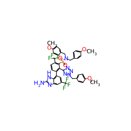 COc1ccc(CN(Cc2ccc(OC)cc2)S(=O)(=O)c2c(C(F)(F)F)ccc(-c3cc(C(F)(F)F)cc4nc(N)[nH]c34)c2-c2nnn(Cc3ccc(OC)cc3)n2)cc1